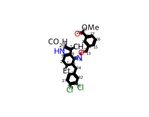 CCC1Cc2[nH]c(C(=O)O)c(C)c2/C(=N\OCc2cccc(C(=O)OC)c2)C1Cc1ccc(Cl)c(Cl)c1